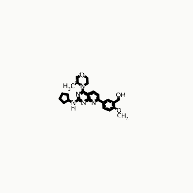 COc1ccc(-c2ccc3c(N4CCOC[C@@H]4C)nc(NC4CCCC4)nc3n2)cc1CO